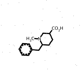 CN1CC(C(=O)O)CCC1Cc1ccccc1